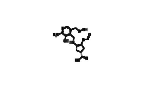 Cc1ncc(COO)c(CNC2=C(OC=O)C[C@H](C(=O)O)C2)c1O